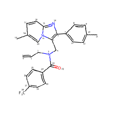 C=CCN(Cc1c(-c2ccc(C)cc2)nc2ccc(C)cn12)C(=O)c1ccc(C(F)(F)F)cc1